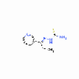 CCC(=NNC(N)=S)c1cccnc1